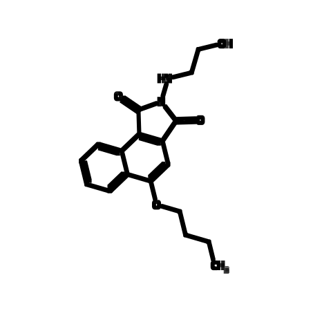 CCCCOc1cc2c(c3ccccc13)C(=O)N(NCCO)C2=O